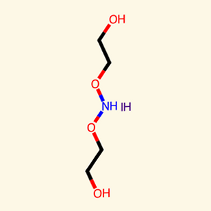 I.OCCONOCCO